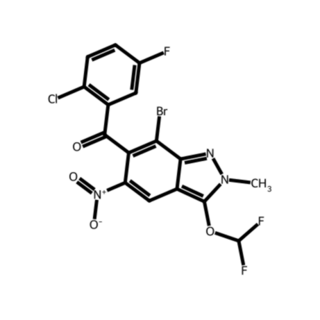 Cn1nc2c(Br)c(C(=O)c3cc(F)ccc3Cl)c([N+](=O)[O-])cc2c1OC(F)F